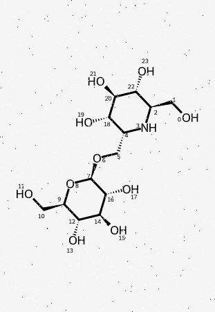 OC[C@H]1N[C@H](CO[C@@H]2O[C@H](CO)[C@@H](O)[C@H](O)[C@H]2O)[C@H](O)[C@@H](O)[C@@H]1O